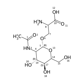 CC(=O)NC1[C@H](OCC(N)C(=O)O)OC(CO)[C@@H](O)[C@@H]1O